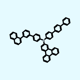 c1ccc(-c2ccc(-c3ccc(N(c4ccc(-c5cccc(-c6cccc7ccccc67)c5)cc4)c4ccc5c6ccccc6c6ccccc6c5c4)cc3)cc2)cc1